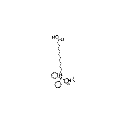 CC(C)n1cc([PH](CCCCCCCCCCCCC(=O)O)(c2ccccc2)c2ccccc2)cn1